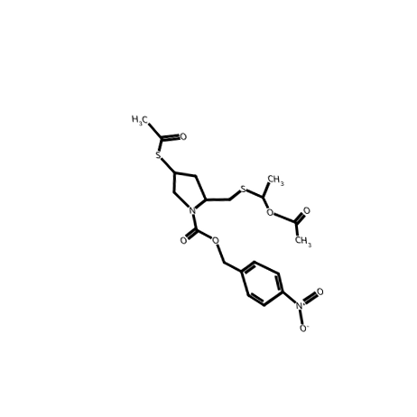 CC(=O)OC(C)SCC1CC(SC(C)=O)CN1C(=O)OCc1ccc([N+](=O)[O-])cc1